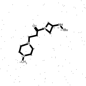 CN1CCN(CCC(=O)N2CC(NC(C)(C)C)C2)CC1